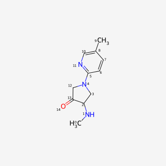 CNC1CN(c2ccc(C)cn2)CC1=O